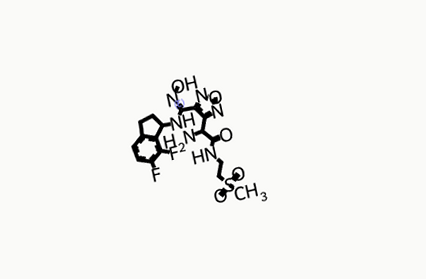 CS(=O)(=O)CCNC(=O)C(N)c1nonc1/C(=N\O)NC1CCc2ccc(F)c(F)c21